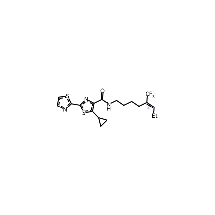 CC/C=C(\CCCCNC(=O)c1nc(-c2nccs2)sc1C1CC1)C(F)(F)F